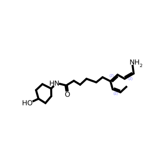 C\C=C/C(=C\C=C/N)CCCCCC(=O)NC1CCC(O)CC1